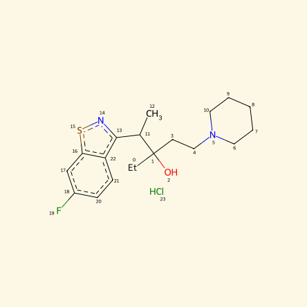 CCC(O)(CCN1CCCCC1)C(C)c1nsc2cc(F)ccc12.Cl